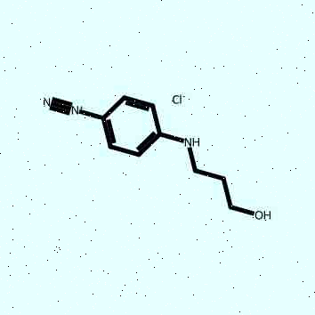 N#[N+]c1ccc(NCCCO)cc1.[Cl-]